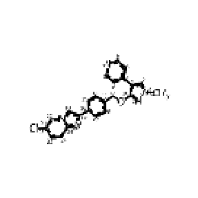 Cn1cc(-c2ccncc2)c(OCc2ccc(-c3cn4cc(Cl)ccc4n3)cc2)n1